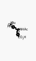 CC(=O)Nc1cc(CCc2ccc(NC(=O)OC(C)(C)C)cc2)c(Cc2ccc(C(=O)O)cc2)s1